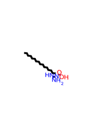 CCCCCCCCCCCCCCCC[N+](C)(C(=N)N)C(=O)O